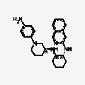 Nc1ccc(N2CCC[C@H](N[C@@H]3CCCC[C@H]3Nc3cc4ccccc4cn3)C2)cc1